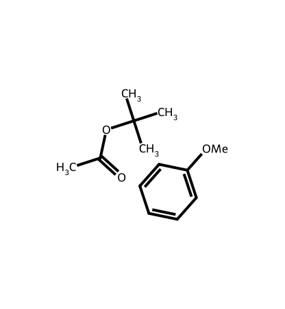 CC(=O)OC(C)(C)C.COc1ccccc1